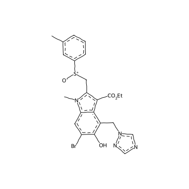 CCOC(=O)c1c(C[S+]([O-])c2cccc(C)c2)n(C)c2cc(Br)c(O)c(Cn3cncn3)c12